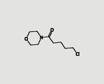 O=C(CCCCCl)N1CCOCC1